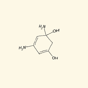 NC1=CC(N)(O)CC(O)=C1